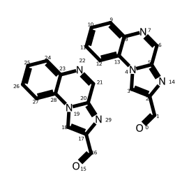 O=Cc1cn2c(cnc3ccccc32)n1.O=Cc1cn2c(cnc3ccccc32)n1